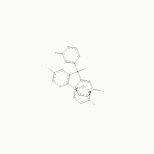 CCCCCCc1cccc(C(O)(c2cccc(CCCCCC)c2)c2cc(Br)ccc2-c2ccc(Br)cc2)c1